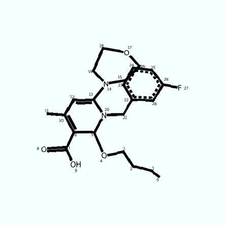 CCCCOC1C(C(=O)O)=C(C)C=C(N2CCOCC2)N1Cc1cccc(F)c1